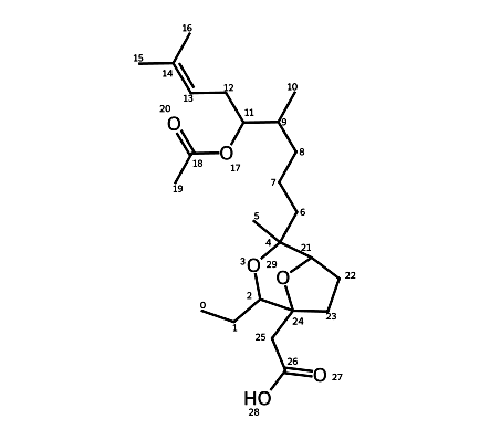 CCC1OC(C)(CCCC(C)C(CC=C(C)C)OC(C)=O)C2CCC1(CC(=O)O)O2